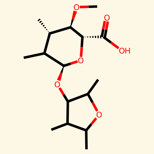 CO[C@H]1[C@H](C(=O)O)O[C@@H](OC2C(C)OC(C)C2C)C(C)[C@@H]1C